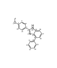 COc1ccc(-c2nc3c(-c4ccccc4)cccc3[nH]2)cc1